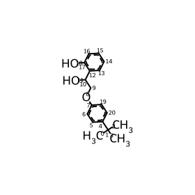 CC(C)(C)c1ccc(OCC(O)c2ccccc2O)cc1